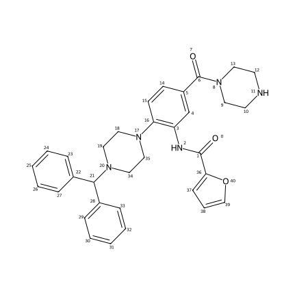 O=C(Nc1cc(C(=O)N2CCNCC2)ccc1N1CCN(C(c2ccccc2)c2ccccc2)CC1)c1ccco1